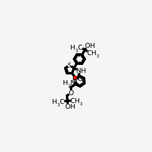 CC(C)(O)COCc1cccc(NC2(c3ccc(C(C)(C)O)cc3)SC=CC2C(N)=O)n1